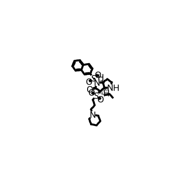 CCC[C@]1(S(=O)(=O)CCCN2CCCCC2)C(=O)N(S(=O)(=O)c2ccc3ccccc3c2)[C@H]2CCN[C@H]21